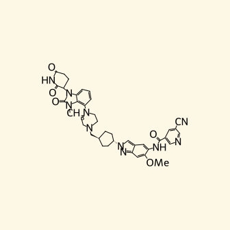 COc1cc2nn([C@H]3CC[C@H](CN4CCN(c5cccc6c5n(C)c(=O)n6C5CCC(=O)NC5=O)CC4)CC3)cc2cc1NC(=O)c1cncc(C#N)c1